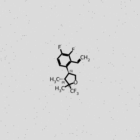 C=Cc1c([C@H]2CO[C@@](C)(C(F)(F)F)[C@@H]2C)ccc(F)c1F